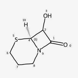 O=C1C(O)[C@@H]2SCCCN12